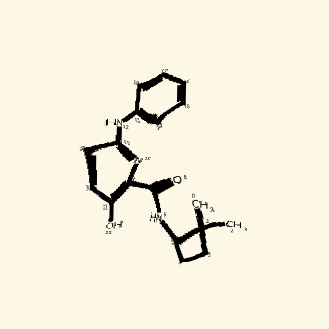 CC1(C)CCC1NC(=O)c1nc(Nc2ccccc2)ccc1O